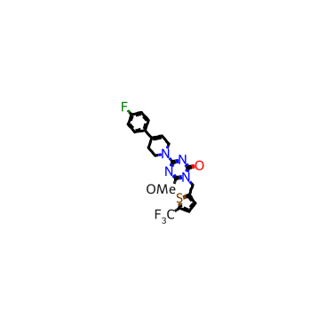 COc1nc(N2CC=C(c3ccc(F)cc3)CC2)nc(=O)n1Cc1ccc(C(F)(F)F)s1